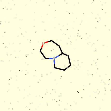 C1CCN2CCOCCC2C1